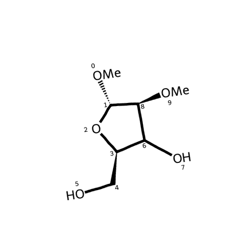 CO[C@H]1O[C@H](CO)C(O)[C@@H]1OC